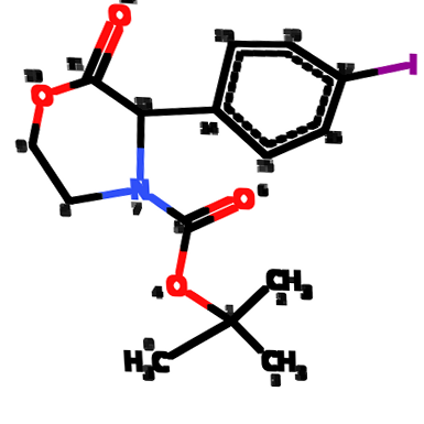 CC(C)(C)OC(=O)N1CCOC(=O)C1c1ccc(I)cc1